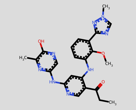 CCC(=O)c1cnc(Nc2cnc(O)c(C)n2)cc1Nc1cccc(-c2ncn(C)n2)c1OC